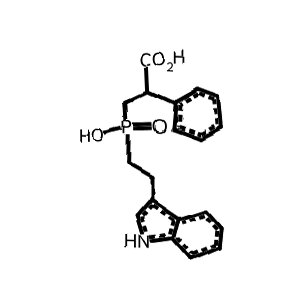 O=C(O)C(CP(=O)(O)CCc1c[nH]c2ccccc12)c1ccccc1